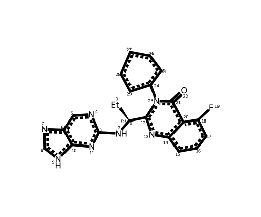 CC[C@H](Nc1ncc2nc[nH]c2n1)c1nc2cccc(F)c2c(=O)n1-c1ccccc1